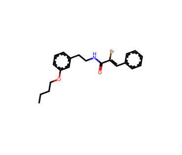 CCCCOc1cccc(CCNC(=O)C(Br)=Cc2ccccc2)c1